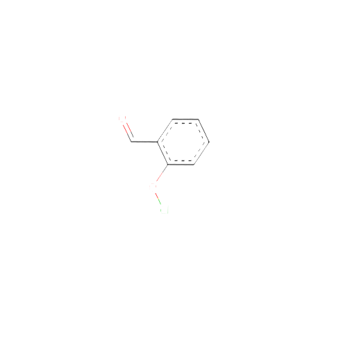 O=Cc1ccccc1OCl